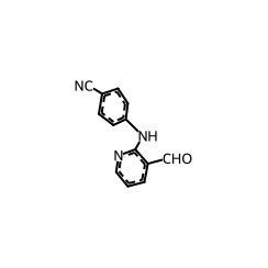 N#Cc1ccc(Nc2ncccc2C=O)cc1